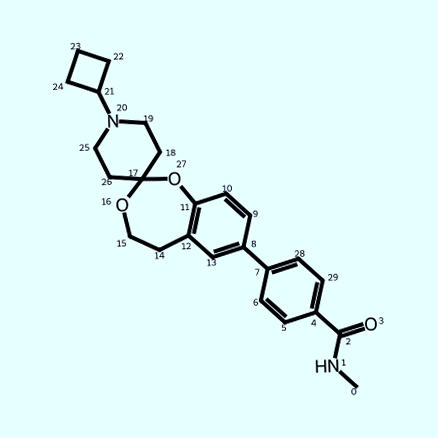 CNC(=O)c1ccc(-c2ccc3c(c2)CCOC2(CCN(C4CCC4)CC2)O3)cc1